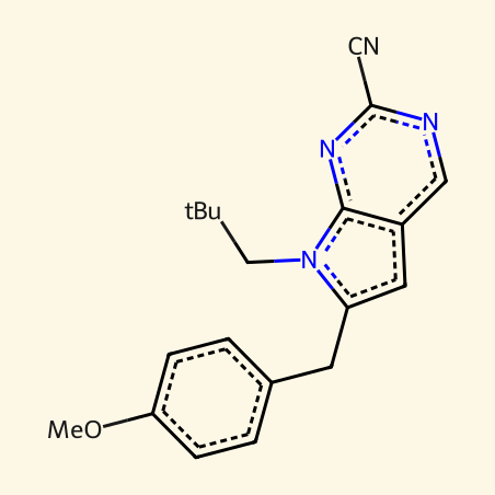 COc1ccc(Cc2cc3cnc(C#N)nc3n2CC(C)(C)C)cc1